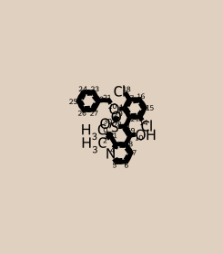 CC1(C)c2ncccc2C(O)=C(c2c(Cl)ccc(Cl)c2OCc2ccccc2)S1(=O)=O